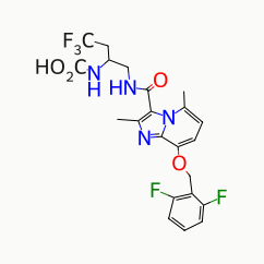 Cc1nc2c(OCc3c(F)cccc3F)ccc(C)n2c1C(=O)NCC(CC(F)(F)F)NC(=O)O